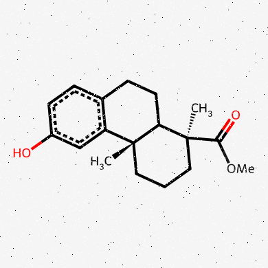 COC(=O)[C@@]1(C)CCC[C@]2(C)c3cc(O)ccc3CCC12